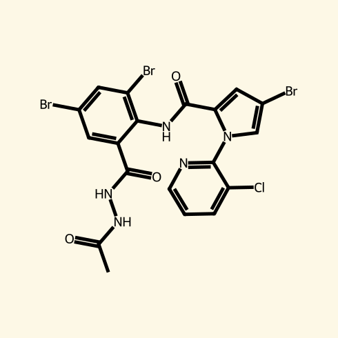 CC(=O)NNC(=O)c1cc(Br)cc(Br)c1NC(=O)c1cc(Br)cn1-c1ncccc1Cl